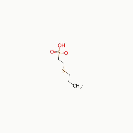 [CH2]CCSCCS(=O)(=O)O